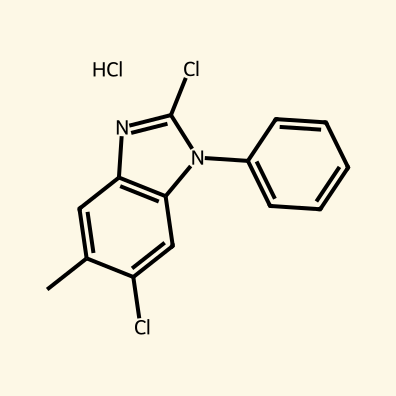 Cc1cc2nc(Cl)n(-c3ccccc3)c2cc1Cl.Cl